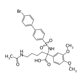 COc1ccc(C(CCCCNC(C)=O)(NS(=O)(=O)c2ccc(-c3ccc(Br)cc3)cc2)C(=O)O)cc1OC